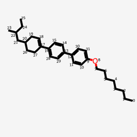 CCCCCCCCOc1ccc(-c2ccc(C3=CCC(CC(C)CC)CC3)cc2)cc1